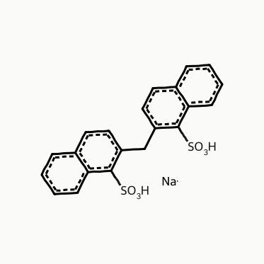 O=S(=O)(O)c1c(Cc2ccc3ccccc3c2S(=O)(=O)O)ccc2ccccc12.[Na]